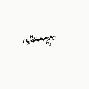 ClC[SiH2]CCCCCC[SiH2]CCl